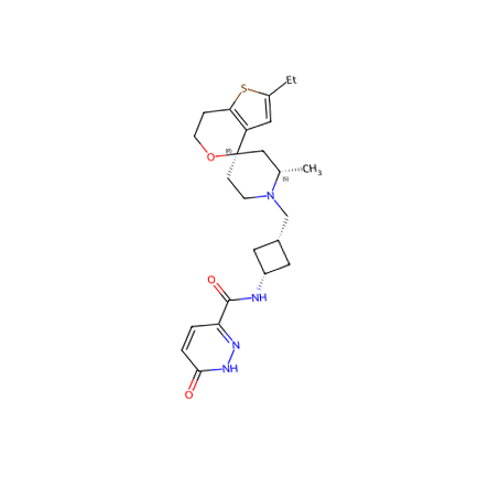 CCc1cc2c(s1)CCO[C@@]21CCN(C[C@H]2C[C@@H](NC(=O)c3ccc(=O)[nH]n3)C2)[C@@H](C)C1